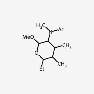 CCC1OC(OC)C(N(C)C(C)=O)C(C)C1C